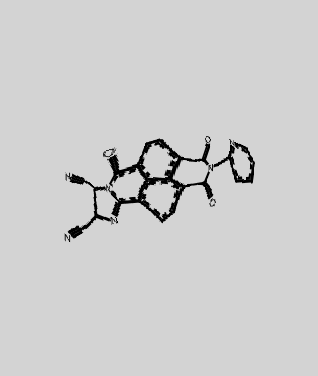 N#CC1N=c2c3ccc4c5c(ccc(c(=O)n2C1C#N)c53)C(=O)N(c1ccccn1)C4=O